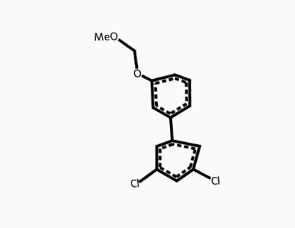 COCOc1cccc(-c2cc(Cl)cc(Cl)c2)c1